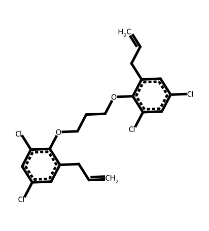 C=CCc1cc(Cl)cc(Cl)c1OCCCOc1c(Cl)cc(Cl)cc1CC=C